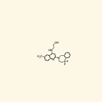 Cc1ccc2nc(N3CCC(F)(F)c4ccccc4C3)cc(NCCO)c2c1